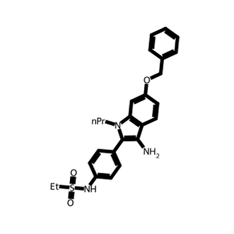 CCCn1c(-c2ccc(NS(=O)(=O)CC)cc2)c(N)c2ccc(OCc3ccccc3)cc21